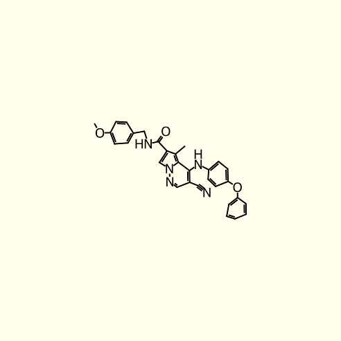 COc1ccc(CNC(=O)c2cn3ncc(C#N)c(Nc4ccc(Oc5ccccc5)cc4)c3c2C)cc1